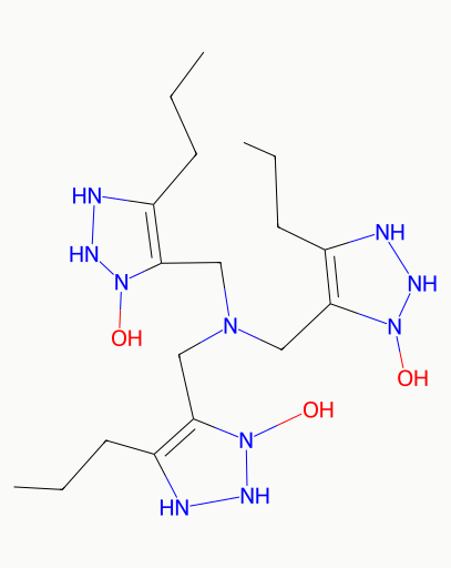 CCCC1=C(CN(CC2=C(CCC)NNN2O)CC2=C(CCC)NNN2O)N(O)NN1